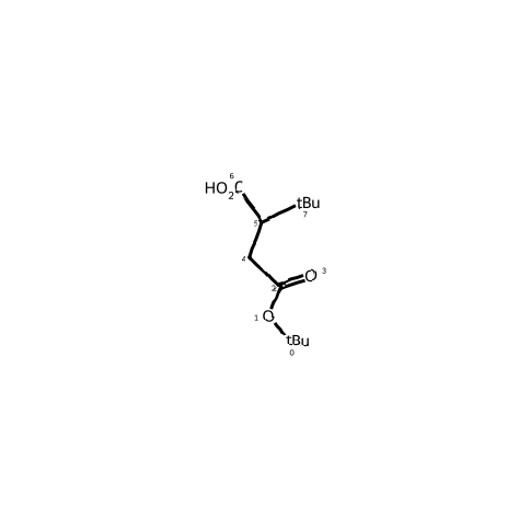 CC(C)(C)OC(=O)CC(C(=O)O)C(C)(C)C